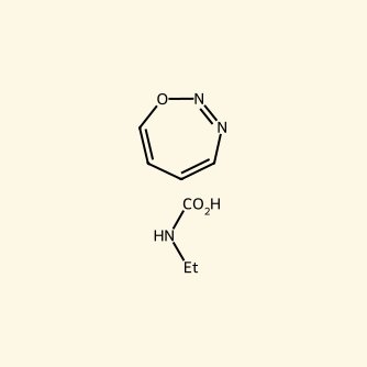 C1=CN=NOC=C1.CCNC(=O)O